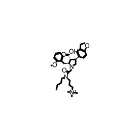 CCCCN(CCC[N+](C)(C)C)C(=O)CN1C[C@H](c2ccc3c(c2)CCO3)[C@@H](C(=O)O)[C@@H]1Cc1ccccc1OC